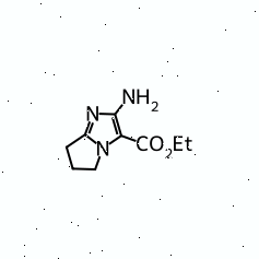 CCOC(=O)c1c(N)nc2n1CCC2